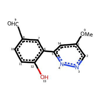 COc1cnnc(-c2cc(C=O)ccc2O)c1